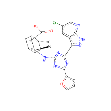 O=C(O)[C@@H]1C2CCC(CC2)[C@H]1Nc1nc(-c2ccco2)nc(-c2n[nH]c3ncc(Cl)cc23)n1